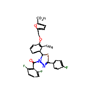 COc1c(OCc2ccc(C(=O)O)o2)cccc1C1SC(c2ccc(F)cc2)=NN1C(=O)c1c(F)cccc1F